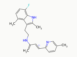 C=C(/C=C/c1ccc(C)cn1)NCCc1c(C)[nH]c2c(F)ccc(C)c12